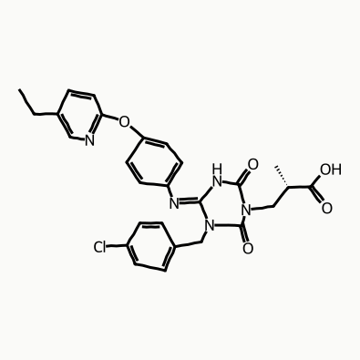 CCc1ccc(Oc2ccc(/N=c3\[nH]c(=O)n(C[C@H](C)C(=O)O)c(=O)n3Cc3ccc(Cl)cc3)cc2)nc1